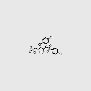 CC(CCCS(=O)(=O)Cl)N(c1cc(Cl)ccc1Cl)S(=O)(=O)c1ccc(Cl)cc1